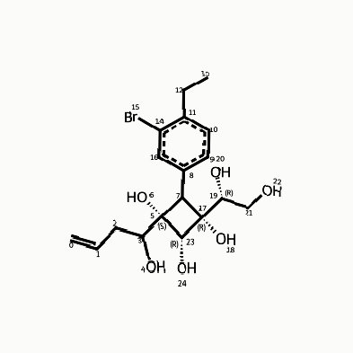 C=CCC(O)[C@@]1(O)C(c2ccc(CC)c(Br)c2)[C@@](O)([C@H](O)CO)[C@@H]1O